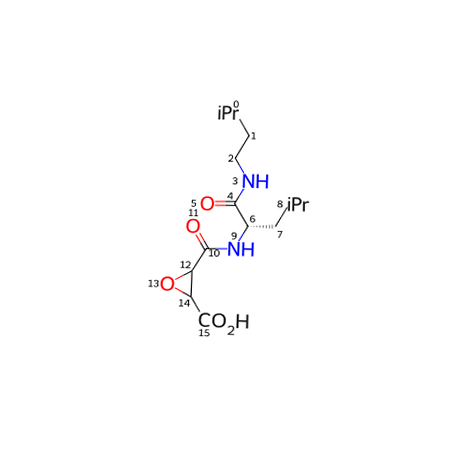 CC(C)CCNC(=O)[C@H](CC(C)C)NC(=O)C1OC1C(=O)O